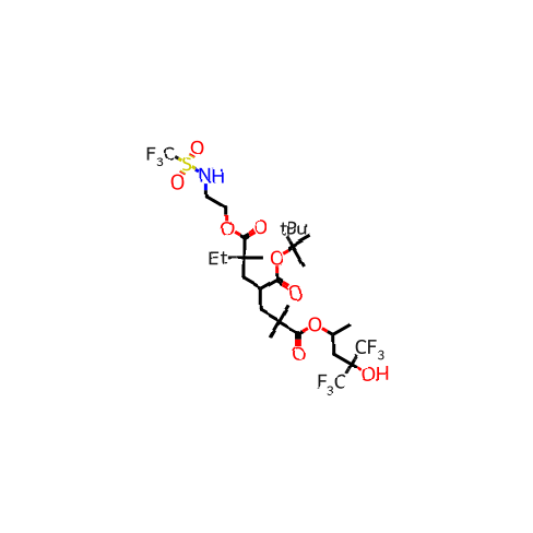 CCC(C)(CC(CC(C)(C)C(=O)OC(C)CC(O)(C(F)(F)F)C(F)(F)F)C(=O)OC(C)(C)C(C)(C)C)C(=O)OCCNS(=O)(=O)C(F)(F)F